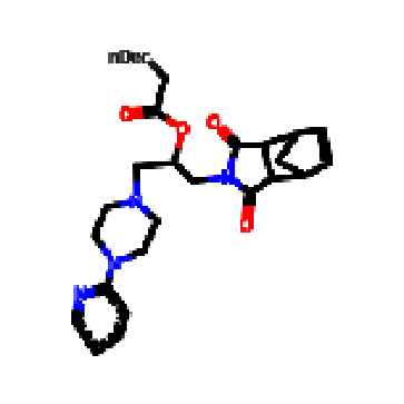 CCCCCCCCCCCC(=O)OC(CN1CCN(c2ccccn2)CC1)CN1C(=O)C2C3C=CC(C3)C2C1=O